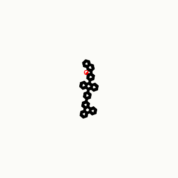 c1ccc2c(c1)ccc1c3ccc(-c4c5ccccc5c(-c5ccc(-c6ccc7c8ccccc8c8ccccc8c7c6)cc5)c5ccccc45)cc3oc21